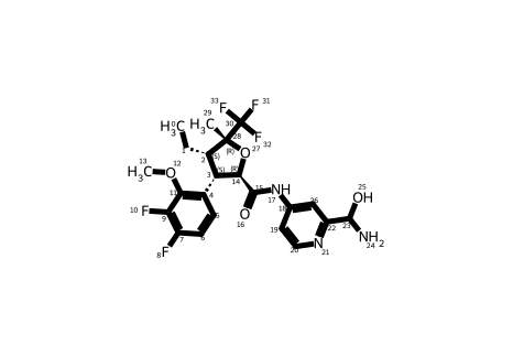 CC[C@H]1[C@@H](c2ccc(F)c(F)c2OC)[C@H](C(=O)Nc2ccnc(C(N)O)c2)O[C@@]1(C)C(F)(F)F